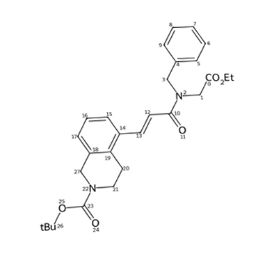 CCOC(=O)CN(Cc1ccccc1)C(=O)/C=C/c1cccc2c1CCN(C(=O)OC(C)(C)C)C2